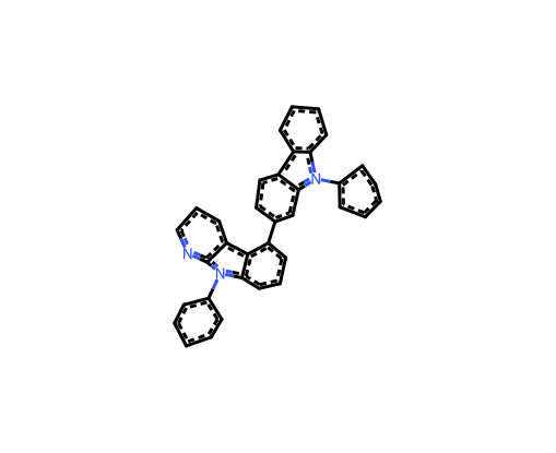 c1ccc(-n2c3ccccc3c3ccc(-c4cccc5c4c4cccnc4n5-c4ccccc4)cc32)cc1